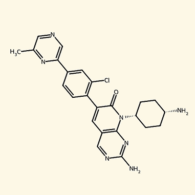 Cc1cncc(-c2ccc(-c3cc4cnc(N)nc4n([C@H]4CC[C@@H](N)CC4)c3=O)c(Cl)c2)n1